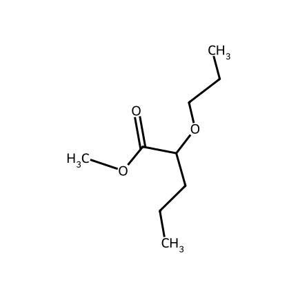 CCCOC(CCC)C(=O)OC